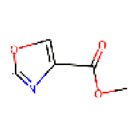 COC(=O)c1co[c]n1